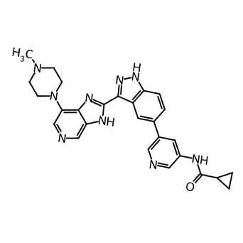 CN1CCN(c2cncc3[nH]c(-c4n[nH]c5ccc(-c6cncc(NC(=O)C7CC7)c6)cc45)nc23)CC1